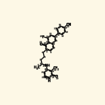 CC(CCCn1ccc2cc(-c3ccc(C#N)cn3)cc(F)c2c1=O)Nc1cn[nH]c(=O)c1C(F)(F)F